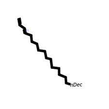 [CH]=C/C=C/CCCCCCCCCCCCCCCCCCCCCC